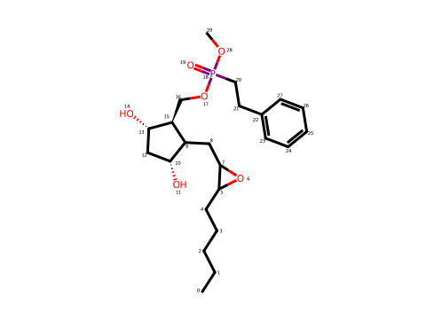 CCCCCC1OC1CC1[C@H](O)C[C@H](O)[C@H]1COP(=O)(CCc1ccccc1)OC